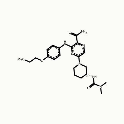 COCCOc1ccc(Nc2nc(N3CCC[C@@H](NC(=O)N(C)C)C3)cnc2C(N)=O)cc1